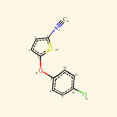 [C-]#[N+]c1ccc(Oc2ccc(Cl)cc2)s1